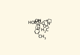 C=CC(=O)N1CCC[C@@H]1COC(=O)NC(Cc1ccc(C)cc1)B(O)O